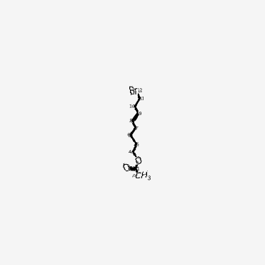 CC(=O)OCCCCC=CCCBr